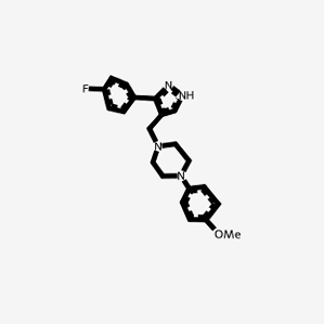 COc1ccc(N2CCN(Cc3c[nH]nc3-c3ccc(F)cc3)CC2)cc1